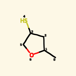 CC1CC(S)CO1